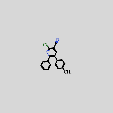 Cc1ccc(-c2cc(C#N)c(Cl)nc2-c2ccccc2)cc1